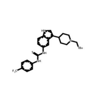 CC(C)(C)CN1CCC(c2c[nH]c3ccc(NC(=S)Nc4ccc(C(F)(F)F)cc4)cc23)CC1